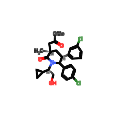 COC(=O)C[C@@]1(C)C[C@H](c2cccc(Cl)c2)C(c2ccc(Cl)cc2)N([C@H](CO)C2CC2)C1=O